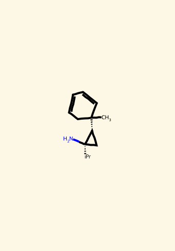 CC(C)[C@@]1(N)C[C@H]1C1(C)C=CC=CC1